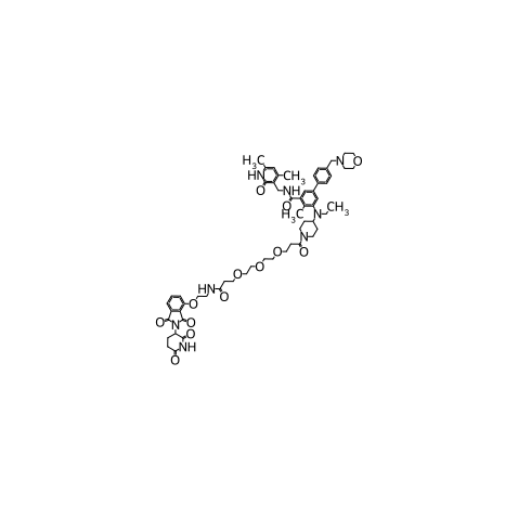 CCN(c1cc(-c2ccc(CN3CCOCC3)cc2)cc(C(=O)NCc2c(C)cc(C)[nH]c2=O)c1C)C1CCN(C(=O)CCOCCOCCOCCC(=O)NCCOc2cccc3c2C(=O)N(C2CCC(=O)NC2=O)C3=O)CC1